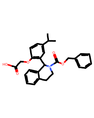 CC(C)c1ccc(OCC(=O)O)c(C2c3ccccc3CCN2C(=O)OCc2ccccc2)c1